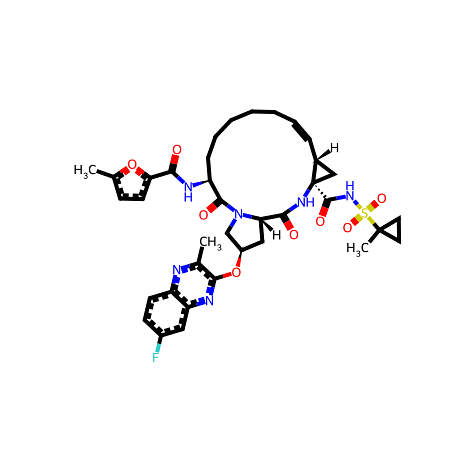 Cc1ccc(C(=O)N[C@H]2CCCCCC=C[C@@H]3C[C@@]3(C(=O)NS(=O)(=O)C3(C)CC3)NC(=O)[C@@H]3C[C@@H](Oc4nc5cc(F)ccc5nc4C)CN3C2=O)o1